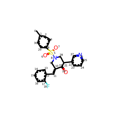 Cc1ccc(S(=O)(=O)N2CC(=Cc3ccccc3F)C(=O)C(c3cccnc3)C2)cc1